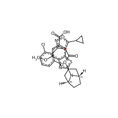 COc1cc(C(=O)O)cc2sc(N3[C@@H]4CC[C@H]3CC(OC(=O)c3c(-c5c(Cl)cccc5Cl)noc3C3CC3)C4)nc12